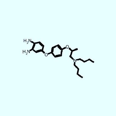 CCCCN(CCCC)CC(C)Oc1ccc(Oc2ccc(N)c(N)c2)cc1